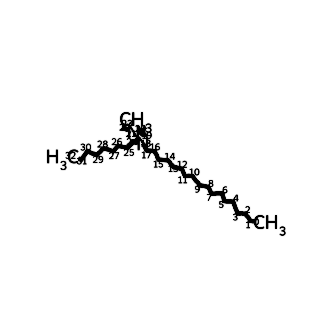 CCCCCCCCCCCCCCCCCCn1cc[n+](CC)c1CCCCCCCC